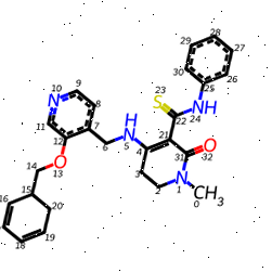 CN1CCC(NCc2ccncc2OCC2C=CC=CC2)=C(C(=S)Nc2ccccc2)C1=O